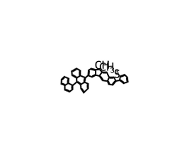 CC1(C)c2ccc(-c3c4ccccc4c(-c4cccc5ccccc45)c4ccccc34)cc2-c2cc3ccc4c5ccccc5sc4c3cc21